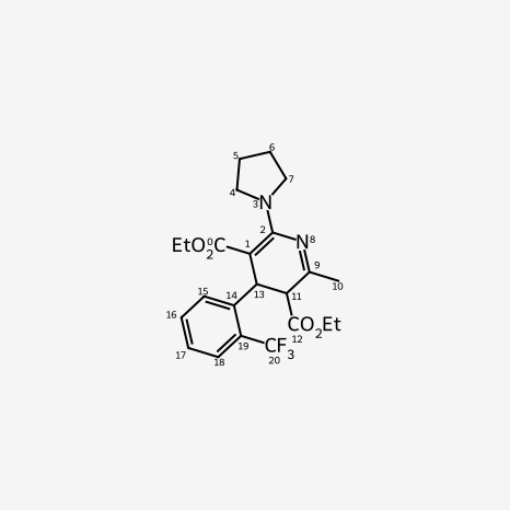 CCOC(=O)C1=C(N2CCCC2)N=C(C)C(C(=O)OCC)C1c1ccccc1C(F)(F)F